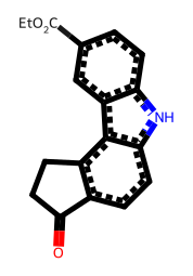 CCOC(=O)c1ccc2[nH]c3ccc4c(c3c2c1)CCC4=O